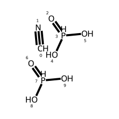 C#N.O=[PH](O)O.O=[PH](O)O